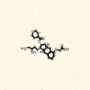 CC[C@H](O)CC[C@@H]1[C@H]2Cc3cccc(OCC(=O)O)c3C[C@H]2C[C@H]1OC(=O)C1CCOCC1